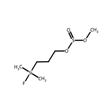 COS(=O)OCCC[Si](C)(C)F